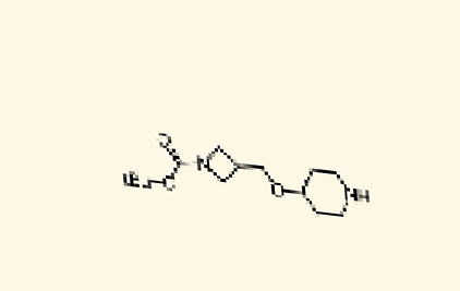 CC(C)(C)OC(=O)N1CC(COC2CCNCC2)C1